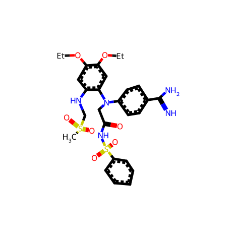 CCOc1cc(NCS(C)(=O)=O)c(N(CC(=O)NS(=O)(=O)c2ccccc2)c2ccc(C(=N)N)cc2)cc1OCC